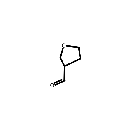 O=[C]C1CCOC1